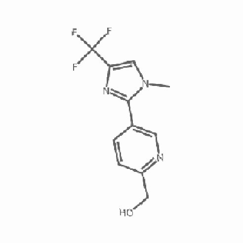 Cn1cc(C(F)(F)F)nc1-c1ccc(CO)nc1